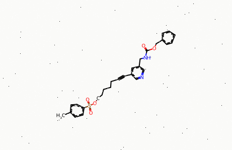 Cc1ccc(S(=O)(=O)OCCCCCC#Cc2cncc(CNC(=O)OCc3ccccc3)c2)cc1